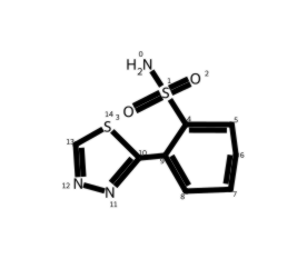 NS(=O)(=O)c1ccccc1-c1nncs1